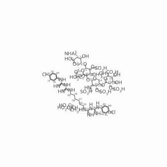 CC(=O)N[C@@H]1[C@@H](O)[C@H](O[C@@H]2O[C@H](C(=O)O)[C@@H](O[C@@H]3O[C@H](CO)[C@@H](O[C@H]4O[C@@H](C(=O)O)[C@H](O)[C@@H](O)[C@@H]4OS(=O)(=O)O)[C@H](OS(=O)(=O)O)[C@H]3NS(=O)(=O)O)[C@H](O)[C@H]2OS(=O)(=O)O)[C@H](COS(=O)(=O)O)O[C@H]1O.CC(=O)O.CC(=O)O.N=C(NCCCCCCNC(=N)NC(=N)Nc1ccc(Cl)cc1)NC(=N)Nc1ccc(Cl)cc1